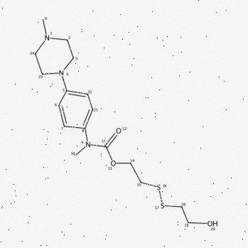 CN1CCN(c2ccc(N(C)C(=O)OCCSSCCO)cc2)CC1